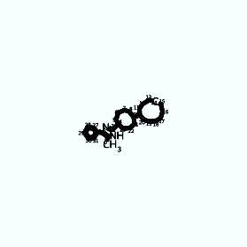 Cc1[nH]c(C2CCCCC(C3CCCCCCCCCC3)CCC2)nc1-c1ccccc1